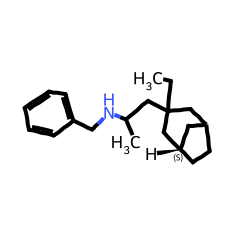 CCC1(CC(C)NCc2ccccc2)CC2CC[C@@H](C2)C1